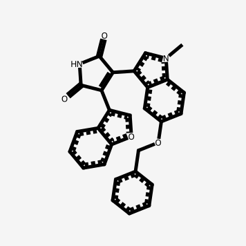 Cn1cc(C2=C(c3coc4ccccc34)C(=O)NC2=O)c2cc(OCc3ccccc3)ccc21